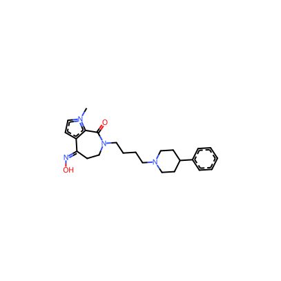 Cn1ccc2c1C(=O)N(CCCCN1CCC(c3ccccc3)CC1)CCC2=NO